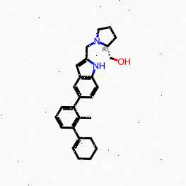 Cc1c(C2=CCCCC2)cccc1-c1ccc2[nH]c(CN3CCC[C@@H]3CO)cc2c1